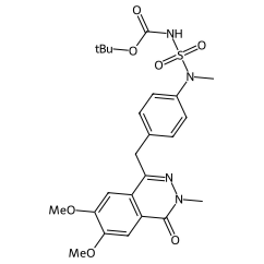 COc1cc2c(Cc3ccc(N(C)S(=O)(=O)NC(=O)OC(C)(C)C)cc3)nn(C)c(=O)c2cc1OC